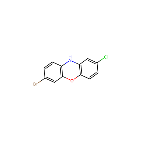 Clc1ccc2c(c1)Nc1ccc(Br)cc1O2